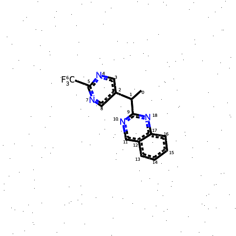 CC(c1cnc(C(F)(F)F)nc1)c1ncc2ccccc2n1